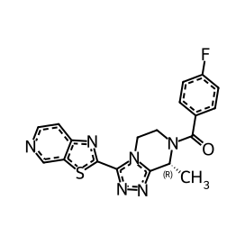 C[C@@H]1c2nnc(-c3nc4ccncc4s3)n2CCN1C(=O)c1ccc(F)cc1